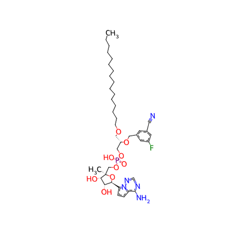 CCCCCCCCCCCCCCCCOC[C@@H](COP(=O)(O)OC[C@@]1(C)O[C@@H](c2ccc3c(N)ncnn23)[C@H](O)[C@@H]1O)OCc1cc(F)cc(C#N)c1